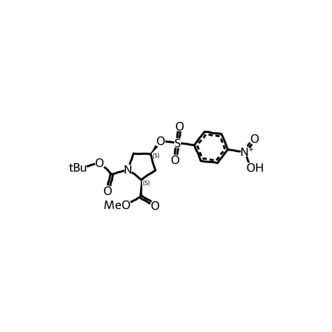 COC(=O)[C@@H]1C[C@H](OS(=O)(=O)c2ccc([N+](=O)O)cc2)CN1C(=O)OC(C)(C)C